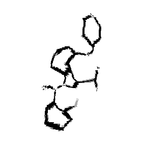 [O-][S+](c1ccccc1F)n1cc(C(F)F)c2c(NC3CCNCC3)cccc21